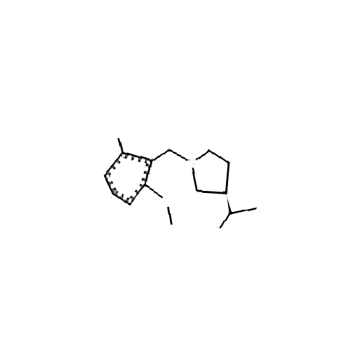 COc1cccc(F)c1CN1CC[C@@H](C(C)C)C1